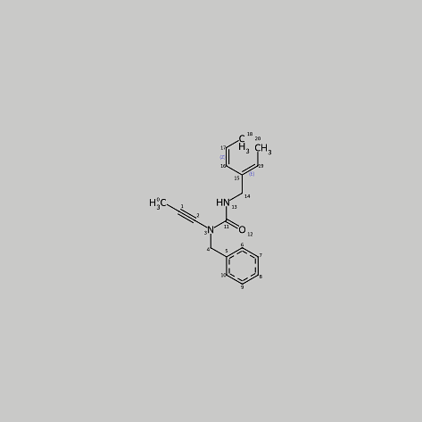 CC#CN(Cc1ccccc1)C(=O)NCC(/C=C\C)=C/C